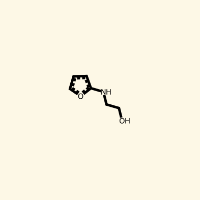 OCCNc1ccco1